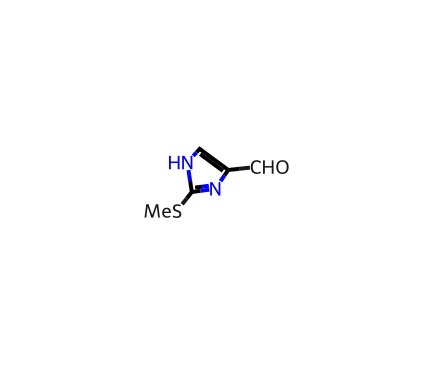 CSc1nc(C=O)c[nH]1